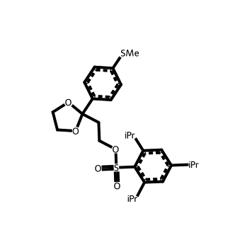 CSc1ccc(C2(CCOS(=O)(=O)c3c(C(C)C)cc(C(C)C)cc3C(C)C)OCCO2)cc1